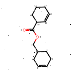 O=C(OCC1CC=CCC1)C1C=CCCC1